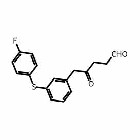 O=CCCC(=O)Cc1cccc(Sc2ccc(F)cc2)c1